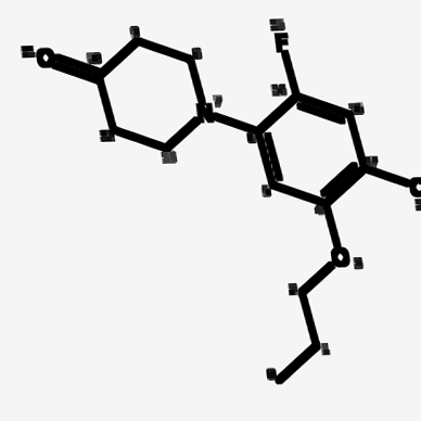 CCCOc1cc(N2CCC(=O)CC2)c(F)cc1Cl